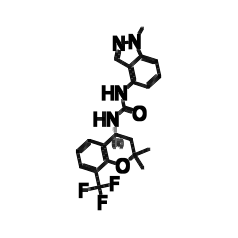 Cn1ncc2c(NC(=O)N[C@@H]3CC(C)(C)Oc4c3cccc4C(F)(F)F)cccc21